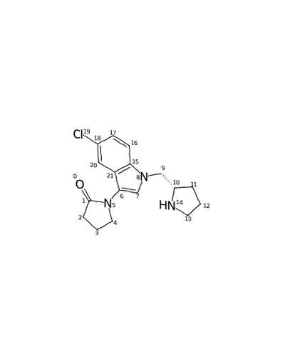 O=C1CCCN1c1cn(C[C@@H]2CCCN2)c2ccc(Cl)cc12